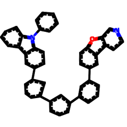 c1ccc(-n2c3ccccc3c3cc(-c4cccc(-c5cccc(-c6cccc(-c7ccc8oc9cnccc9c8c7)c6)c5)c4)ccc32)cc1